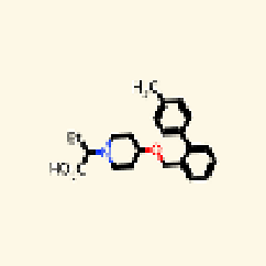 CCC(C(=O)O)N1CCC(OCc2ccccc2-c2ccc(C)cc2)CC1